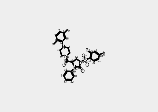 Cc1ccc(C)c(N2CCN(C(=O)C3CN(S(=O)(=O)c4ccc(F)cc4F)C(=O)N3c3ccccc3)CC2)c1